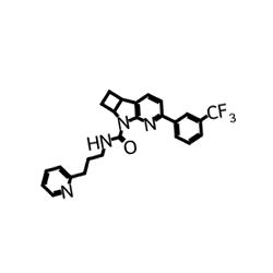 O=C(NCCCc1ccccn1)N1c2nc(-c3cccc(C(F)(F)F)c3)ccc2C2CCC21